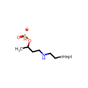 CCCCCCCCCNCCC(C)O[SH](=O)=O